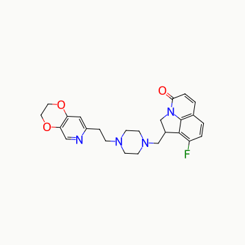 O=c1ccc2ccc(F)c3c2n1CC3CN1CCN(CCc2cc3c(cn2)OCCO3)CC1